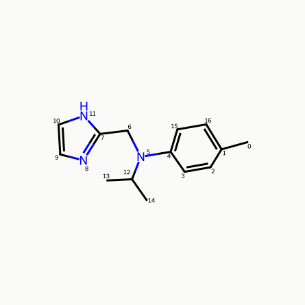 Cc1ccc(N(Cc2ncc[nH]2)C(C)C)cc1